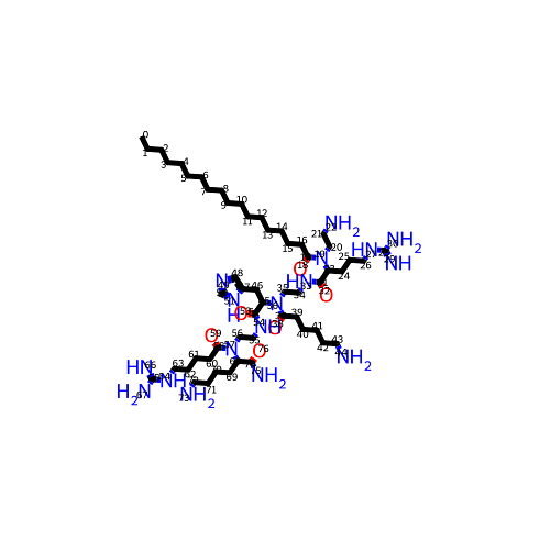 CCCCCCCCCCCCCCCCCC(=O)N(CCN)C(CCCNC(=N)N)C(=O)NCCN(C(=O)CCCCCN)C(Cc1cnc[nH]1)C(=O)NCCN(C(=O)CCCCNC(=N)N)C(CCCCN)C(N)=O